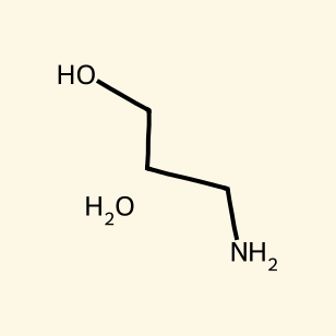 NCCCO.O